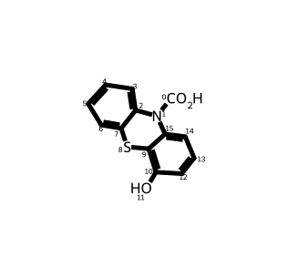 O=C(O)N1c2ccccc2Sc2c(O)cccc21